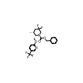 C[C@@H]1CC(F)(F)CN(C(=O)OCc2ccccc2)[C@@H]1COc1ccc(C(F)(F)F)cn1